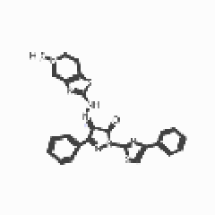 CN1CCc2sc(N/N=C3\C(=O)N(c4nc(-c5ccccc5)cs4)N=C3c3ccccc3)nc2C1